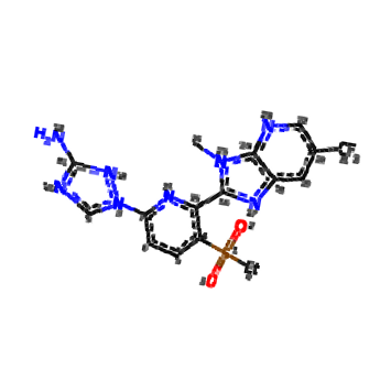 CCS(=O)(=O)c1ccc(-n2cnc(N)n2)nc1-c1nc2cc(C(F)(F)F)cnc2n1C